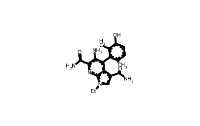 CCn1cc(C(N)=O)c2c(-c3c(C)ccc(O)c3C)c(N)c(C(N)=O)nc21